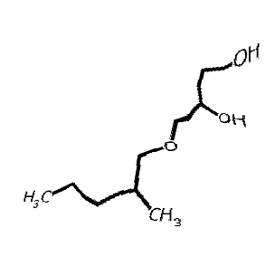 CCCC(C)COCC(O)CO